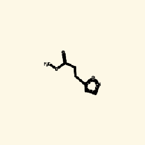 O=C(CCc1ccno1)OC(F)(F)F